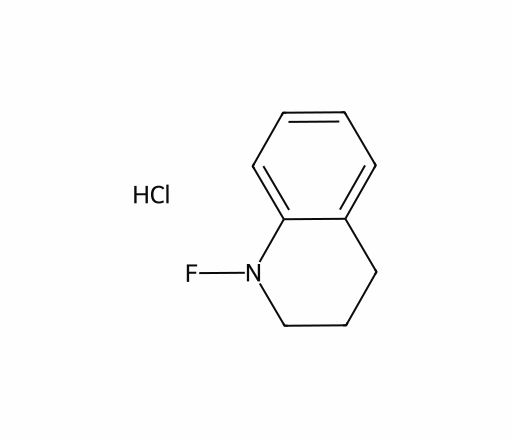 Cl.FN1CCCc2ccccc21